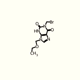 CCOCn1cnc2c(=O)n(CBr)c(=O)[nH]c21